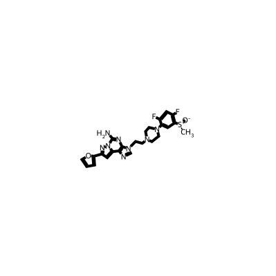 C[S@@+]([O-])c1cc(N2CCN(CCn3cnc4c3nc(N)n3nc(-c5ccco5)cc43)CC2)c(F)cc1F